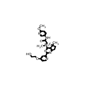 COc1ccc(NC(=O)CN(C)c2nc(-c3cc(OCCO)ccn3)nc3c2C(C)(C)CC3)cn1